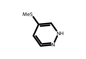 CSC1=CNN=C=C1